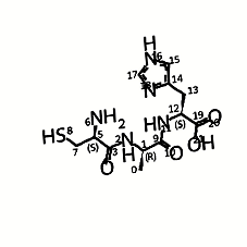 C[C@@H](NC(=O)[C@H](N)CS)C(=O)N[C@@H](Cc1c[nH]cn1)C(=O)O